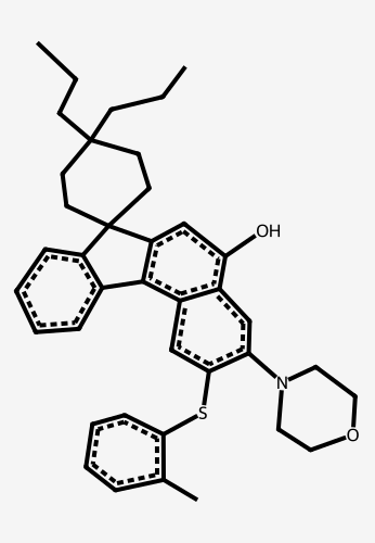 CCCC1(CCC)CCC2(CC1)c1ccccc1-c1c2cc(O)c2cc(N3CCOCC3)c(Sc3ccccc3C)cc12